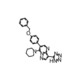 c1ccc(COc2ccc(-c3cnc4c(-c5nnn[nH]5)cnn4c3N3CCCCC3)cc2)cc1